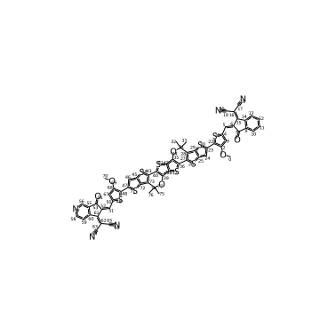 COc1cc(/C=C2\C(=O)c3ccccc3C2=C(C#N)C#N)sc1-c1cc2sc3c(c2s1)C(C)(C)Oc1c-3sc2c3c(sc12)-c1sc2cc(-c4sc(/C=C5\C(=O)c6cnccc6C5=C(C#N)C#N)cc4OC)sc2c1C(C)(C)O3